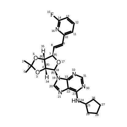 CC1(C)O[C@@H]2[C@H](O1)[C@@H](C=Cc1cccc(F)n1)O[C@H]2n1cnc2c(NC3CCCC3)ncnc21